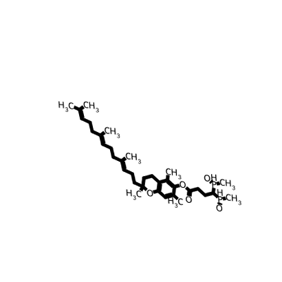 CC(C)=CCC/C(C)=C/CC/C(C)=C/CCC1(C)CCc2c(cc(C)c(OC(=O)CCC([PH](C)=O)[PH](C)=O)c2C)O1